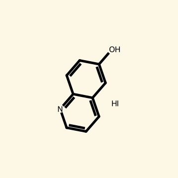 I.Oc1ccc2ncccc2c1